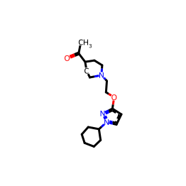 CC(=O)C1CCN(CCOc2ccn(C3CCCCC3)n2)CC1